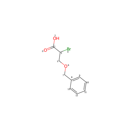 O=C(O)C(Br)COCc1ccccc1